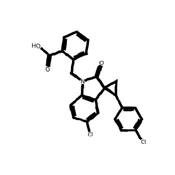 O=C(O)c1ccccc1CN1C(=O)C2(CC2c2ccc(Cl)cc2)c2cc(Cl)ccc21